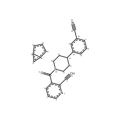 C#Cc1ncccc1C(=O)N1CCC(c2cccc(C#N)c2)CC1.c1cc2cc-2c1